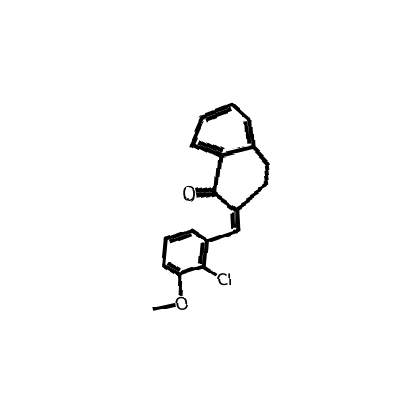 COc1cccc(C=C2CCc3ccccc3C2=O)c1Cl